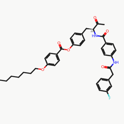 CCCCCCCOc1ccc(C(=O)Oc2ccc(C[C@H](NC(=O)c3ccc(NC(=O)Cc4cccc(F)c4)cc3)C(C)=O)cc2)cc1